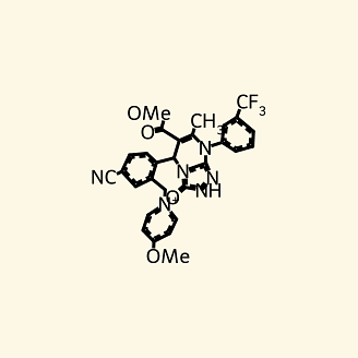 COC(=O)C1=C(C)N(c2cccc(C(F)(F)F)c2)c2n[nH]c(=O)n2C1c1ccc(C#N)cc1C[n+]1ccc(OC)cc1